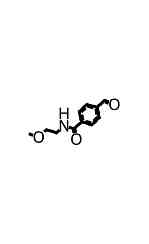 COCCNC(=O)c1ccc(C=O)cc1